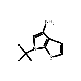 CC(C)(C)n1cc(N)c2ccsc21